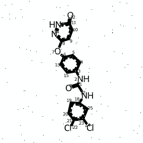 O=C(Nc1ccc(Oc2ccc(=O)[nH]n2)cc1)Nc1ccc(Cl)c(Cl)c1